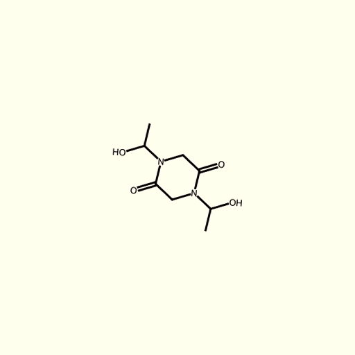 CC(O)N1CC(=O)N(C(C)O)CC1=O